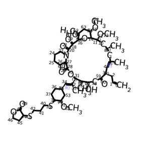 C=CC[C@@H]1/C=C(\C)C[C@H](C)C[C@H](OC)C2O[C@@](O)(C(=O)C(=O)N3CCCC[C@H]3C(=O)O[C@H](/C(C)=C/[C@@H]3CCC(SCCCSC4CCOC4=O)[C@H](OC)C3)[C@H](C)[C@@H](O)CC1=O)[C@H](C)C[C@@H]2OC